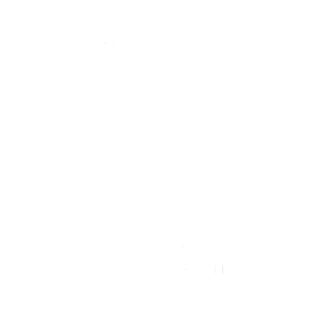 CCCCCCCC/C=C\CCCCCCCC(CC)OC(=O)O